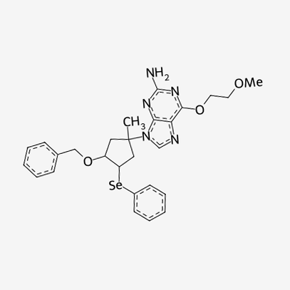 COCCOc1nc(N)nc2c1ncn2C1(C)CC(OCc2ccccc2)C([Se]c2ccccc2)C1